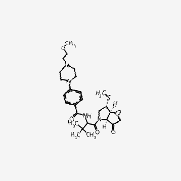 COCCN1CCN(c2ccc(C(=O)NC(C(=O)N3C[C@H](SC)[C@H]4OCC(=O)[C@H]43)C(C)(C)C)cc2)CC1